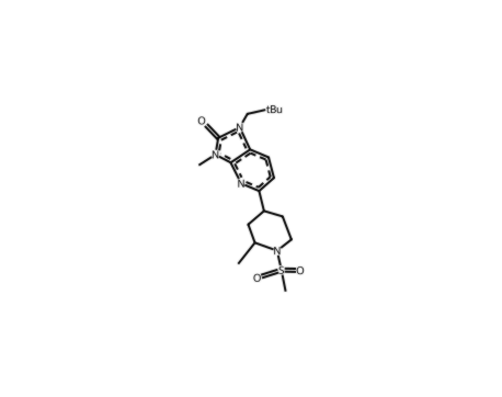 CC1CC(c2ccc3c(n2)n(C)c(=O)n3CC(C)(C)C)CCN1S(C)(=O)=O